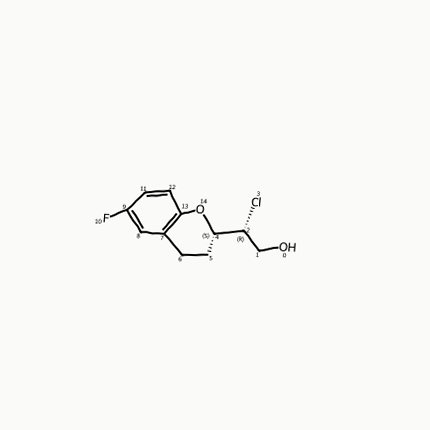 OC[C@@H](Cl)[C@@H]1CCc2cc(F)ccc2O1